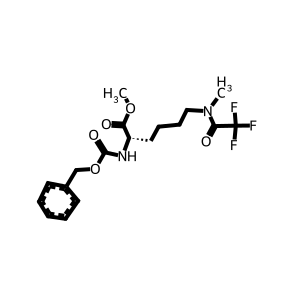 COC(=O)[C@H](CCCCN(C)C(=O)C(F)(F)F)NC(=O)OCc1ccccc1